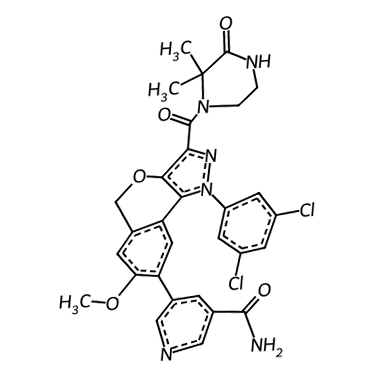 COc1cc2c(cc1-c1cncc(C(N)=O)c1)-c1c(c(C(=O)N3CCNC(=O)C3(C)C)nn1-c1cc(Cl)cc(Cl)c1)OC2